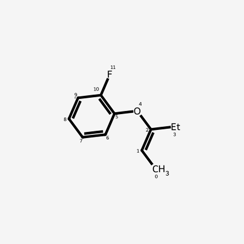 CC=C(CC)Oc1ccc[c]c1F